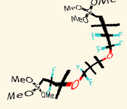 CO[Si](CC(C)(C)C(F)(F)C(F)(F)OC(C)(C)C(C)(C)C(F)(F)OC(C)(C)C(F)(F)C[Si](OC)(OC)OC)(OC)OC